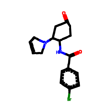 O=C1CCC(NC(=O)c2ccc(Br)cc2)C(N2CC=CC2)C1